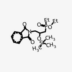 CCOP(=O)(CC)CC(CN1C(=O)c2ccccc2C1=O)O[Si](C)(C)C